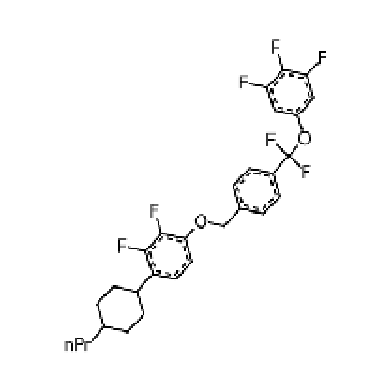 CCCC1CCC(c2ccc(OCc3ccc(C(F)(F)Oc4cc(F)c(F)c(F)c4)cc3)c(F)c2F)CC1